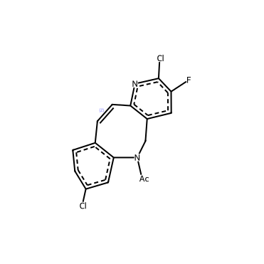 CC(=O)N1Cc2cc(F)c(Cl)nc2/C=C\c2ccc(Cl)cc21